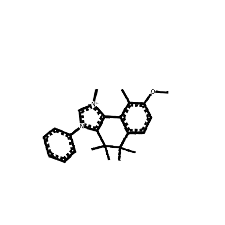 COc1ccc2c(c1C)-c1c(n(-c3ccccc3)c[n+]1C)C(C)(C)C2(C)C